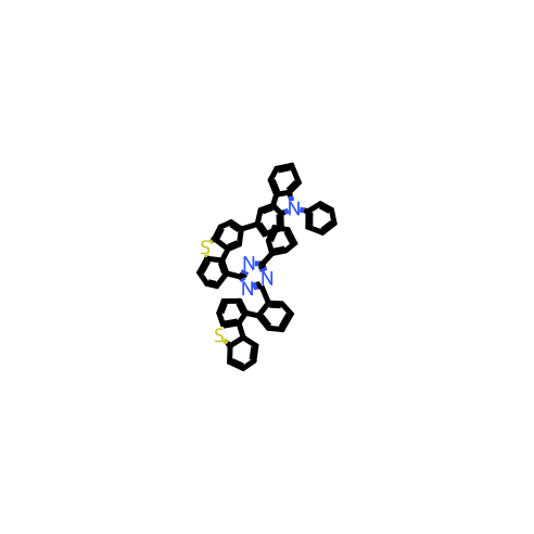 C1=CC2Sc3cccc(-c4ccccc4-c4nc(-c5ccccc5)nc(-c5cccc6sc7ccc(-c8ccc9c(c8)c8ccccc8n9-c8ccccc8)cc7c56)n4)c3C2C=C1